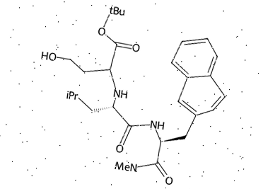 CNC(=O)[C@H](Cc1ccc2ccccc2c1)NC(=O)[C@H](CC(C)C)NC(CCO)C(=O)OC(C)(C)C